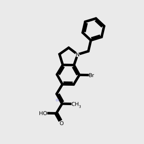 C/C(=C\c1cc(Br)c2c(c1)CCN2Cc1ccccc1)C(=O)O